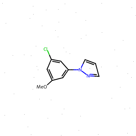 COc1cc(Cl)cc(-n2cccn2)c1